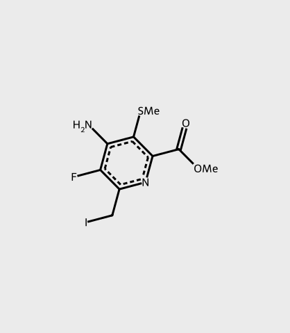 COC(=O)c1nc(CI)c(F)c(N)c1SC